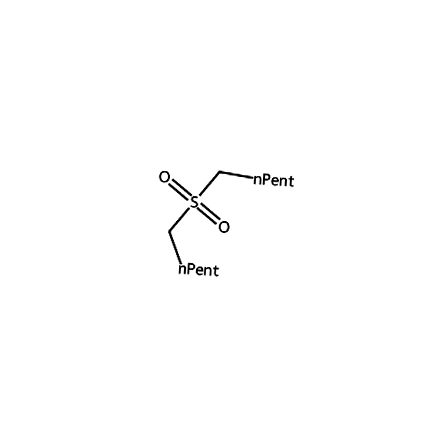 CCCCCCS(=O)(=O)CCCCCC